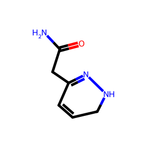 NC(=O)CC1=NNCC=C1